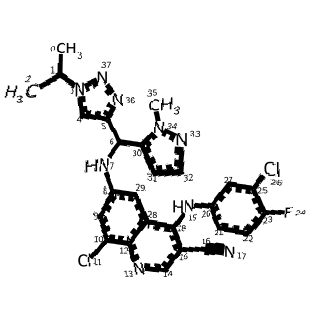 CC(C)n1cc(C(Nc2cc(Cl)c3ncc(C#N)c(Nc4ccc(F)c(Cl)c4)c3c2)c2ccnn2C)nn1